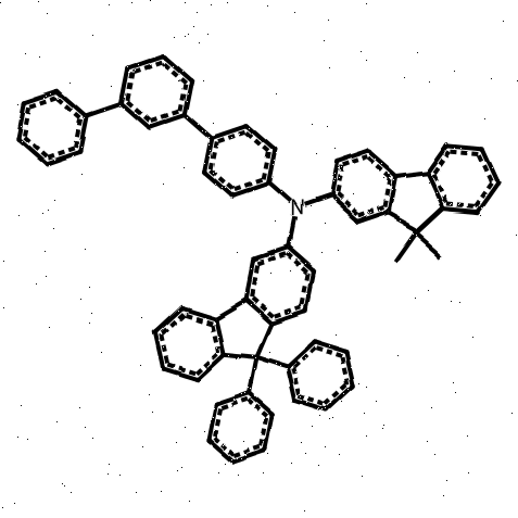 CC1(C)c2ccccc2-c2ccc(N(c3ccc(-c4cccc(-c5ccccc5)c4)cc3)c3ccc4c(c3)-c3ccccc3C4(c3ccccc3)c3ccccc3)cc21